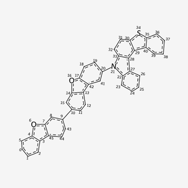 c1ccc2c(c1)oc1cc(-c3ccc4c(c3)oc3ccc(-n5c6ccccc6c6c7c(ccc65)sc5ccccc57)cc34)ccc12